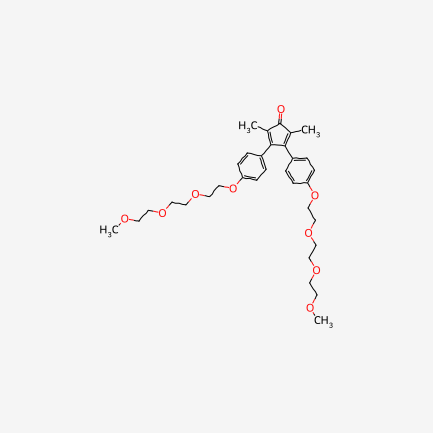 COCCOCCOCCOc1ccc(C2=C(C)C(=O)C(C)=C2c2ccc(OCCOCCOCCOC)cc2)cc1